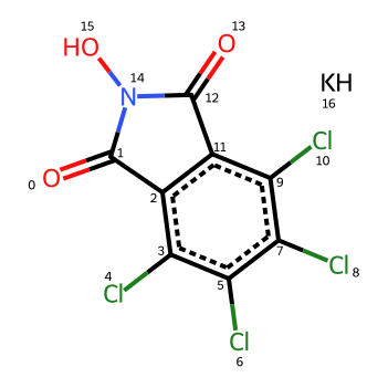 O=C1c2c(Cl)c(Cl)c(Cl)c(Cl)c2C(=O)N1O.[KH]